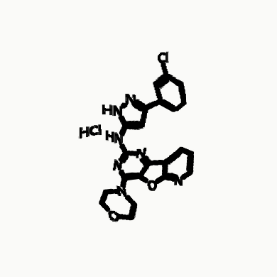 Cl.Clc1cccc(-c2cc(Nc3nc(N4CCOCC4)c4oc5ncccc5c4n3)[nH]n2)c1